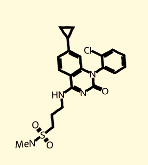 CNS(=O)(=O)CCCNc1nc(=O)n(-c2ccccc2Cl)c2cc(C3CC3)ccc12